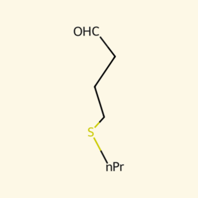 CCCSCCCC=O